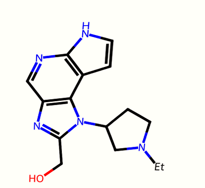 CCN1CCC(n2c(CO)nc3cnc4[nH]ccc4c32)C1